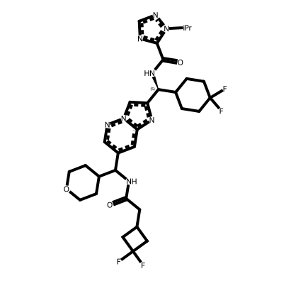 CC(C)n1ncnc1C(=O)N[C@H](c1cn2ncc(C(NC(=O)CC3CC(F)(F)C3)C3CCOCC3)cc2n1)C1CCC(F)(F)CC1